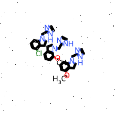 COc1cccc2c1CCN2Cc1ncc[nH]1.COc1cccc2c1N(Cc1ncc[nH]1)CC2.Clc1cccc2c1CCN2Cc1ncc[nH]1